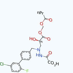 CCCC(=O)OCOC(=O)[C@H](O)CN(Cc1ccc(-c2cc(Cl)ccc2F)cc1)NC(=O)C(=O)O